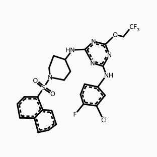 O=S(=O)(c1cccc2ccccc12)N1CCC(Nc2nc(Nc3ccc(F)c(Cl)c3)nc(OCC(F)(F)F)n2)CC1